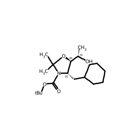 C[C@H](O)[C@@H]1OC(C)(C)N(C(=O)OC(C)(C)C)[C@H]1CC1CCCCC1